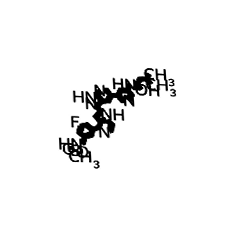 CC(C)CC(O)Nc1cncc(-c2cnc3[nH]nc(-c4cc5c(-c6cc(F)cc(CNS(C)(=O)=O)c6)nccc5[nH]4)c3c2)c1